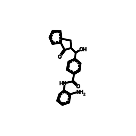 Nc1ccccc1NC(=O)c1ccc(C(O)C2Cc3ccccc3C2=O)cc1